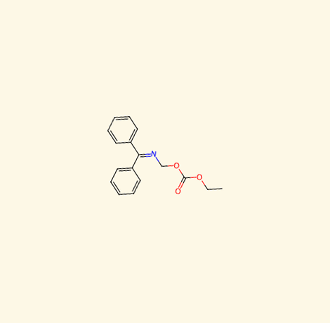 CCOC(=O)OCN=C(c1ccccc1)c1ccccc1